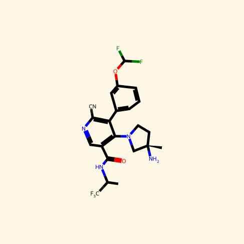 CC(NC(=O)c1cnc(C#N)c(-c2cccc(OC(F)F)c2)c1N1CC[C@](C)(N)C1)C(F)(F)F